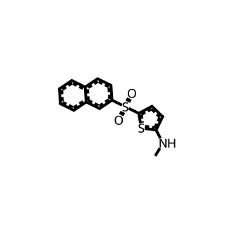 CNc1ccc(S(=O)(=O)c2ccc3ccccc3c2)s1